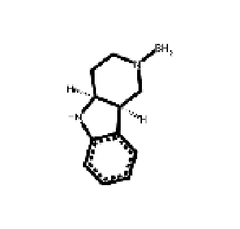 BN1CC[C@@H]2Nc3ccccc3[C@@H]2C1